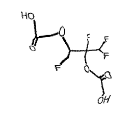 O=C(O)OC(F)C(F)(OC(=O)O)C(F)F